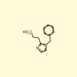 O=C(O)CCc1nccn1Cc1ccccc1